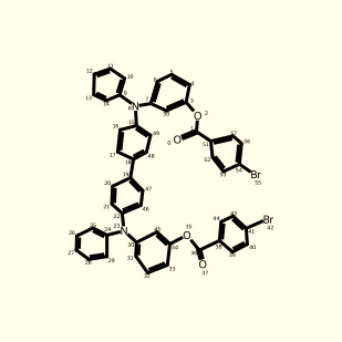 O=C(Oc1cccc(N(c2ccccc2)c2ccc(-c3ccc(N(c4ccccc4)c4cccc(OC(=O)c5ccc(Br)cc5)c4)cc3)cc2)c1)c1ccc(Br)cc1